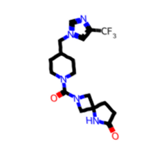 O=C1CCC2(CN(C(=O)N3CCC(Cn4cnc(C(F)(F)F)c4)CC3)C2)N1